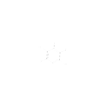 [2H]c1[c]c([2H])c([2H])c(Cl)c1[2H]